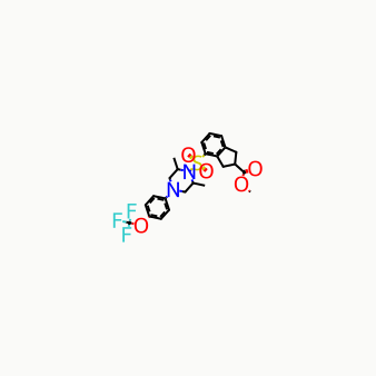 COC(=O)C1Cc2cccc(S(=O)(=O)N3C(C)CN(c4ccc(OC(F)(F)F)cc4)CC3C)c2C1